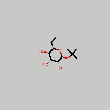 CC[C@H]1O[C@@H](OC(C)(C)C)[C@H](O)[C@H](O)[C@H]1O